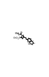 CCOC(=O)c1cc(CCc2ccc3c(n2)NCCC3)cn1C(=O)OC(C)(C)C